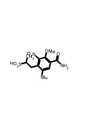 COc1c(C(N)=O)cc(C(C)(C)C)c(CC(C)S(=O)(=O)O)c1[N+](=O)[O-]